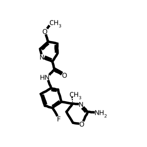 COc1ccc(C(=O)Nc2ccc(F)c([C@]3(C)CCOC(N)=N3)c2)nc1